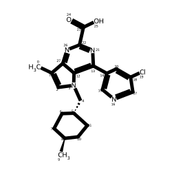 Cc1cn(C[C@H]2CC[C@H](C)CC2)c2c(-c3cncc(Cl)c3)nc(C(=O)O)nc12